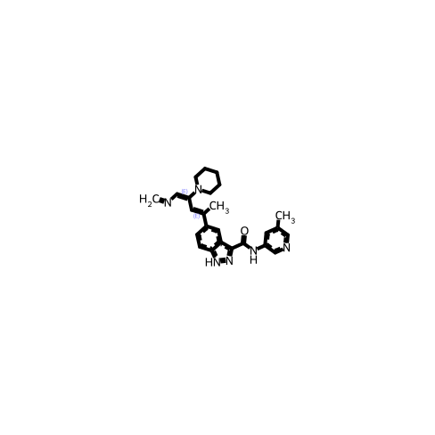 C=N/C=C(\C=C(/C)c1ccc2[nH]nc(C(=O)Nc3cncc(C)c3)c2c1)N1CCCCC1